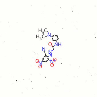 CCN(CC)c1cccc(NC(=O)CN=Nc2c(C#N)cc([N+](=O)[O-])cc2[N+](=O)[O-])c1